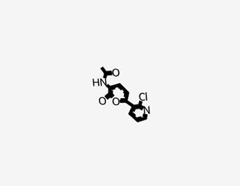 CC(=O)Nc1ccc(-c2cccnc2Cl)oc1=O